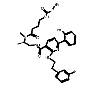 C[C@H](CNC(=O)c1ccc(-c2ccccc2C#N)nc1NCCc1cccc(F)c1)N(C)C(=O)CCCNC(=O)OC(C)(C)C